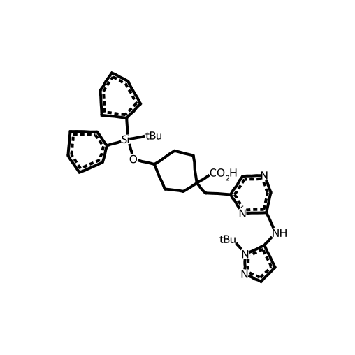 CC(C)(C)n1nccc1Nc1cncc(CC2(C(=O)O)CCC(O[Si](c3ccccc3)(c3ccccc3)C(C)(C)C)CC2)n1